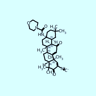 [C-]#[N+]C1=C[C@]2(C)C3=CC(=O)[C@@H]4[C@@H]5CC(C)(C)CC[C@]5(NC(=O)N5CCOCC5)CC[C@@]4(C)[C@]3(C)CC[C@H]2C(C)(C)C1=O